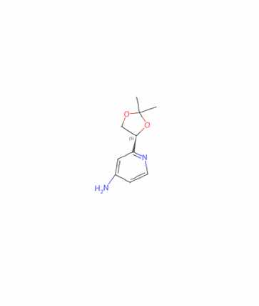 CC1(C)OC[C@H](c2cc(N)ccn2)O1